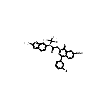 BC(B)(C)N(C(=O)Cn1nc(-c2cccc(Cl)c2)c2ccc(OC)cc2c1=O)c1ccc2nc(C)oc2c1